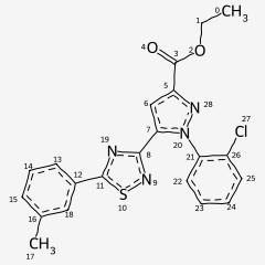 CCOC(=O)c1cc(-c2nsc(-c3cccc(C)c3)n2)n(-c2ccccc2Cl)n1